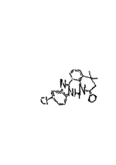 CN1C(=O)CC(C)(C)c2cccc(-c3nc4cc(Cl)ccc4[nH]3)c21